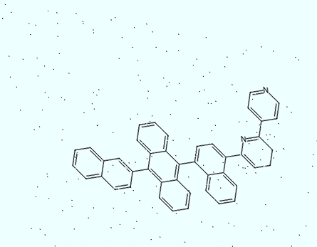 C1=C(c2ccc(-c3c4ccccc4c(-c4ccc5ccccc5c4)c4ccccc34)c3ccccc23)N=C(c2ccncc2)CC1